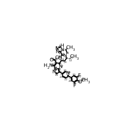 CCCN(C(=O)c1nnc[nH]1)[C@H](CC)CCc1nc2c(-c3ccc(-c4cc(F)c(OC)c(F)c4)nc3)cnn2c(N)c1C(C)=O